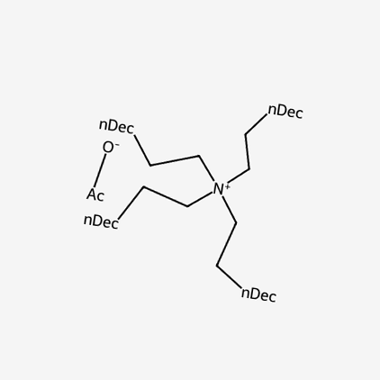 CC(=O)[O-].CCCCCCCCCCCC[N+](CCCCCCCCCCCC)(CCCCCCCCCCCC)CCCCCCCCCCCC